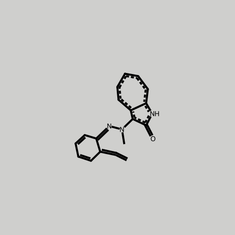 C=C=C1C=CC=C/C1=N/N(C)c1c2cccccc-2[nH]c1=O